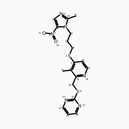 Cc1c(SCCCn2c([N+](=O)[O-])cnc2C)ccnc1CSc1ncccn1